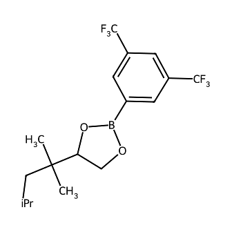 CC(C)CC(C)(C)C1COB(c2cc(C(F)(F)F)cc(C(F)(F)F)c2)O1